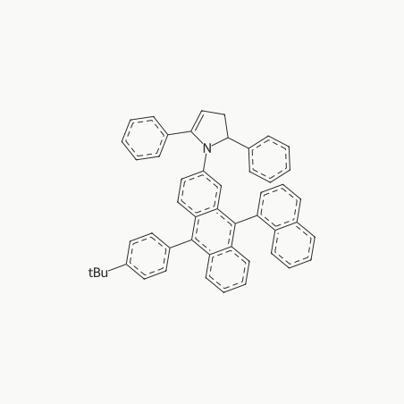 CC(C)(C)c1ccc(-c2c3ccccc3c(-c3cccc4ccccc34)c3cc(N4C(c5ccccc5)=CCC4c4ccccc4)ccc23)cc1